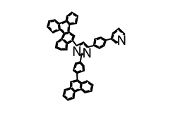 c1cncc(-c2ccc(-c3cc(-c4cc5c6ccccc6c6ccccc6c5c5ccccc45)nc(-c4ccc(-c5cc6ccccc6c6ccccc56)cc4)n3)cc2)c1